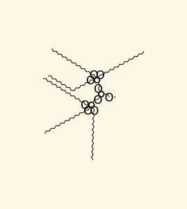 CCCCCCCCCCCCCCCCCCOc1cc(COc2cc(C[O])cc(OCc3cc(OCCCCCCCCCCCCCCCCCC)c(OCCCCCCCCCCCCCCCCCC)c(OCCCCCCCCCCCCCCCCCC)c3)c2)cc(OCCCCCCCCCCCCCCCCCC)c1OCCCCCCCCCCCCCCCCCC